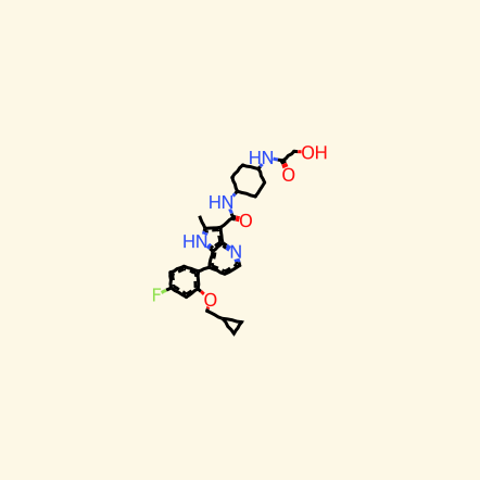 Cc1[nH]c2c(-c3ccc(F)cc3OCC3CC3)ccnc2c1C(=O)NC1CCC(NC(=O)CO)CC1